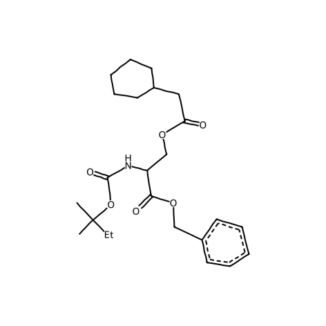 CCC(C)(C)OC(=O)NC(COC(=O)CC1CCCCC1)C(=O)OCc1ccccc1